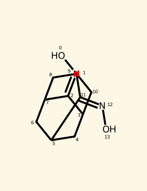 ON=C1C2CC3CC1CC(C2)C3=NO